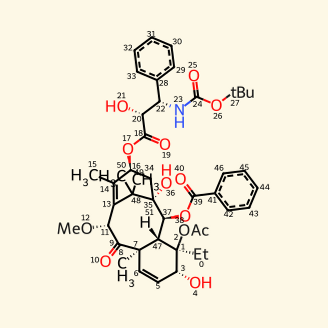 CC[C@]1(OC(C)=O)[C@H](O)C=C[C@@]2(C)C(=O)[C@H](OC)C3=C(C)[C@@H](OC(=O)[C@H](O)[C@@H](NC(=O)OC(C)(C)C)c4ccccc4)C[C@@](O)([C@@H](OC(=O)c4ccccc4)[C@H]12)C3(C)C